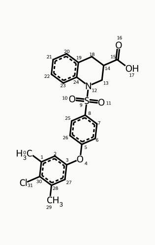 Cc1cc(Oc2ccc(S(=O)(=O)N3CC(C(=O)O)Cc4ccccc43)cc2)cc(C)c1Cl